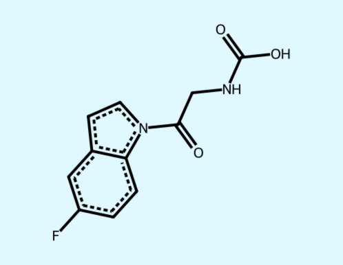 O=C(O)NCC(=O)n1ccc2cc(F)ccc21